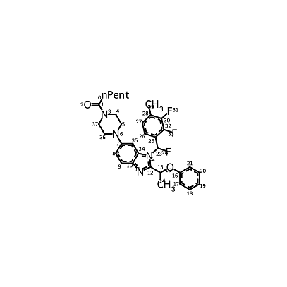 CCCCCC(=O)N1CCN(c2ccc3nc(C(C)Oc4ccccc4)n(C(F)c4ccc(C)c(F)c4F)c3c2)CC1